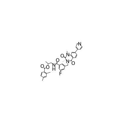 Cc1ccc(C(=O)OC(C)CNC(=O)c2cc(F)cc(CN3C(=O)c4ccc(-c5ccncc5)cc4N(C)C(=O)[C@H]3C)c2)c(C)c1